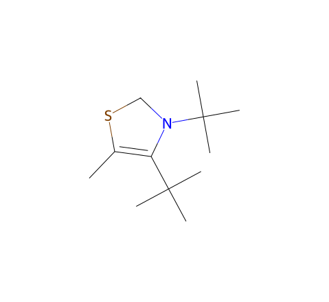 CC1=C(C(C)(C)C)N(C(C)(C)C)CS1